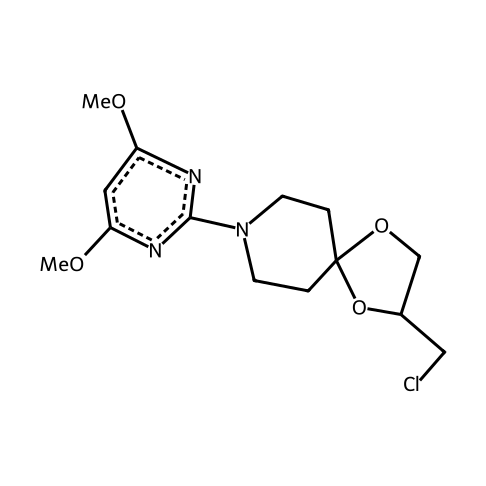 COc1cc(OC)nc(N2CCC3(CC2)OCC(CCl)O3)n1